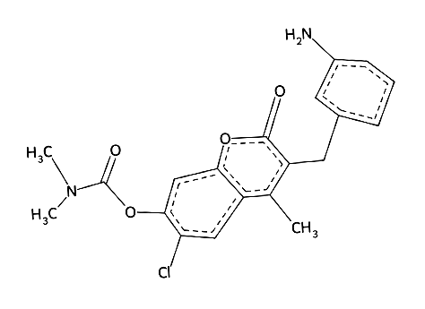 Cc1c(Cc2cccc(N)c2)c(=O)oc2cc(OC(=O)N(C)C)c(Cl)cc12